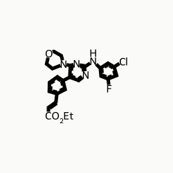 CCOC(=O)C=Cc1cccc(-c2cnc(Nc3cc(F)cc(Cl)c3)nc2N2CCOCC2)c1